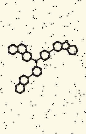 c1cc(-c2ccc3ccccc3c2)cc(N(c2ccc(-c3ccc4oc5ccccc5c4c3)cc2)c2ccc3c(ccc4ccccc43)c2)c1